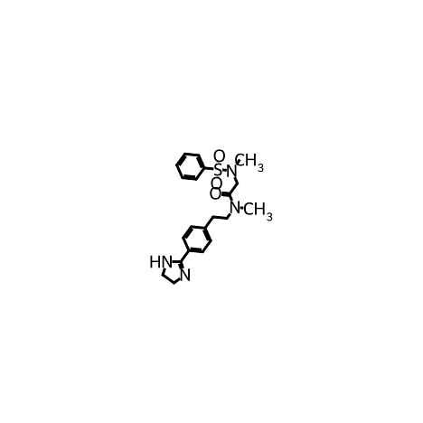 CN(CCc1ccc(C2=NCCN2)cc1)C(=O)CN(C)S(=O)(=O)c1ccccc1